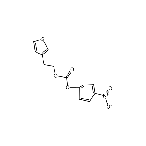 O=C(OCCc1ccsc1)Oc1ccc([N+](=O)[O-])cc1